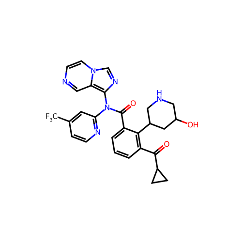 O=C(c1cccc(C(=O)N(c2cc(C(F)(F)F)ccn2)c2ncn3ccncc23)c1C1CNCC(O)C1)C1CC1